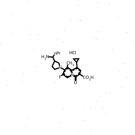 CCCC(N)C1CCN(c2c(F)cn3c(=O)c(C(=O)O)cc(C4CC4)c3c2C)C1.Cl